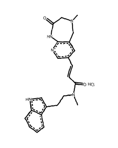 CN1CC(=O)Nc2ncc(C=CC(=O)N(C)CCc3c[nH]c4ccccc34)cc2C1.Cl